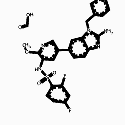 COc1ncc(-c2ccc3nc(N)n(Cc4cccnc4)c3c2)cc1NS(=O)(=O)c1ccc(F)cc1F.O=CO